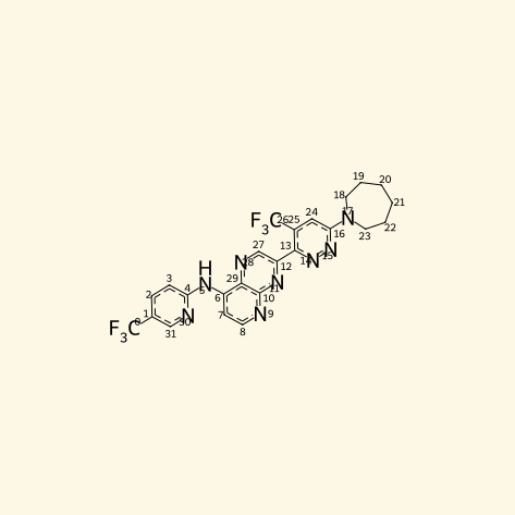 FC(F)(F)c1ccc(Nc2ccnc3nc(-c4nnc(N5CCCCCC5)cc4C(F)(F)F)cnc23)nc1